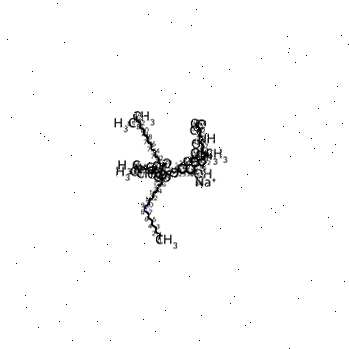 CCCCCCCC/C=C\CCCCCCCC(=O)O[C@@H](CO[C@@H]1CC[C@@]2(C)C(C1)C[C@@H](O)C1C2C[C@H](O)[C@@]2(C)C1CC[C@@H]2[C@H](C)CCC(=O)NCCS(=O)(=O)[O-])C(OP(=O)([O-])OCC[N+](C)(C)C)C(=O)CCCCCCCCCCCCC(C)C.[Na+]